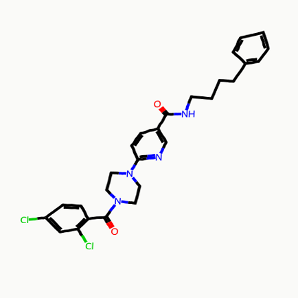 O=C(NCCCCc1ccccc1)c1ccc(N2CCN(C(=O)c3ccc(Cl)cc3Cl)CC2)nc1